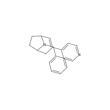 C1=C(c2ccncc2)CC2CCC1N2Cc1ccccc1